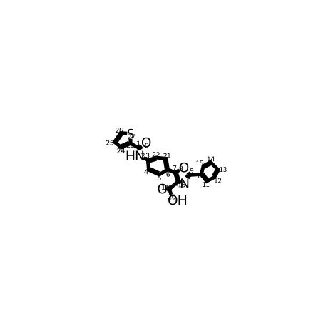 O=C(Nc1ccc(-c2oc(-c3ccccc3)nc2C(=O)O)cc1)c1cccs1